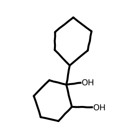 OC1CCCCC1(O)C1CCCCC1